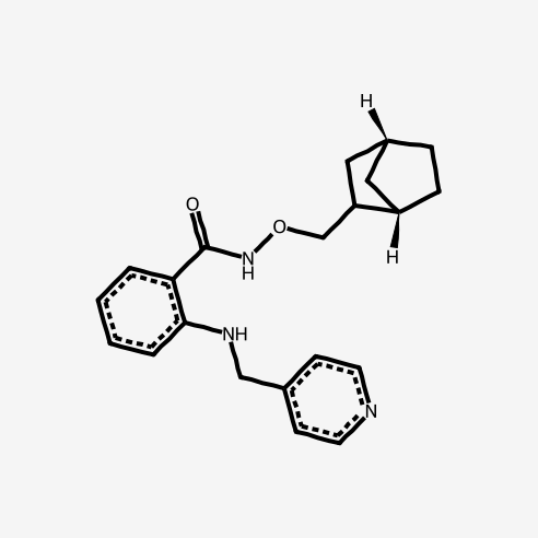 O=C(NOCC1C[C@@H]2CC[C@H]1C2)c1ccccc1NCc1ccncc1